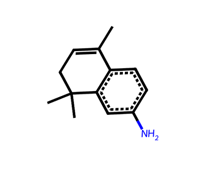 CC1=CCC(C)(C)c2cc(N)ccc21